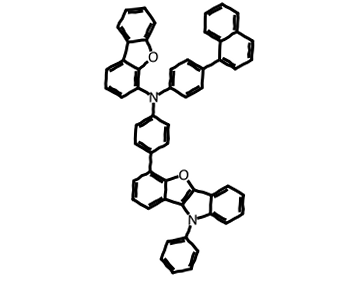 c1ccc(-n2c3ccccc3c3oc4c(-c5ccc(N(c6ccc(-c7cccc8ccccc78)cc6)c6cccc7c6oc6ccccc67)cc5)cccc4c32)cc1